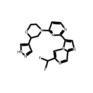 FC(F)c1cn2c(-c3nccc(N4CCOC(c5cn[nH]c5)C4)n3)cnc2cn1